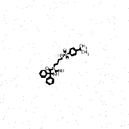 CC(C)c1ccc(S(=O)(=O)NCCCCN2C(=N)NC(c3ccccc3)(c3ccccc3)C2=O)cc1